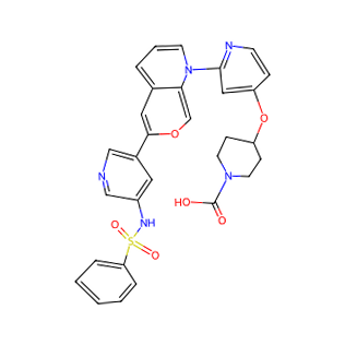 O=C(O)N1CCC(Oc2ccnc(N3C=CC=C4C=C(c5cncc(NS(=O)(=O)c6ccccc6)c5)OC=C43)c2)CC1